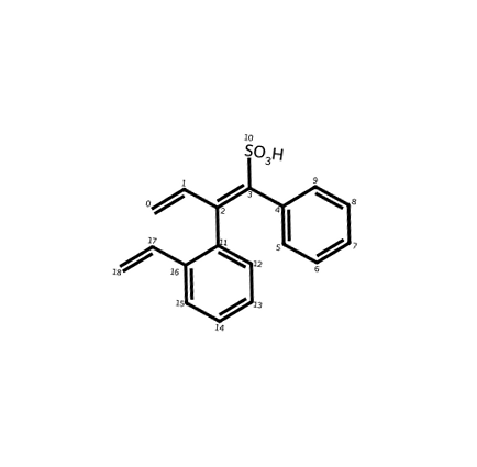 C=CC(=C(c1ccccc1)S(=O)(=O)O)c1ccccc1C=C